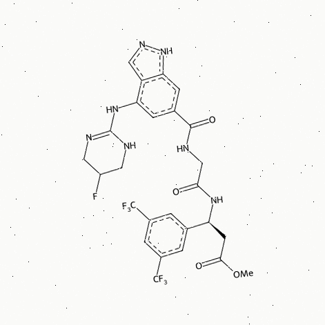 COC(=O)C[C@H](NC(=O)CNC(=O)c1cc(NC2=NCC(F)CN2)c2cn[nH]c2c1)c1cc(C(F)(F)F)cc(C(F)(F)F)c1